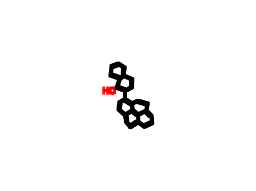 Oc1c(-c2ccc3ccc4cccc5ccc2c3c45)ccc2ccccc12